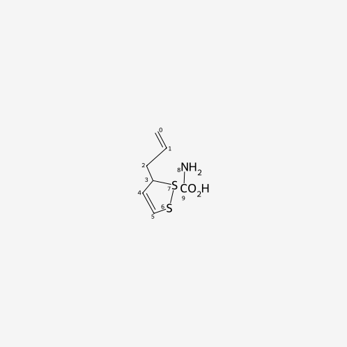 C=CCC1C=CSS1.NC(=O)O